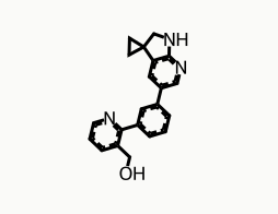 OCc1cccnc1-c1cccc(-c2cnc3c(c2)C2(CC2)CN3)c1